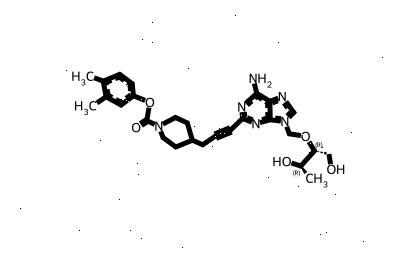 Cc1ccc(OC(=O)N2CCC(CC#Cc3nc(N)c4ncn(CO[C@H](CO)[C@@H](C)O)c4n3)CC2)cc1C